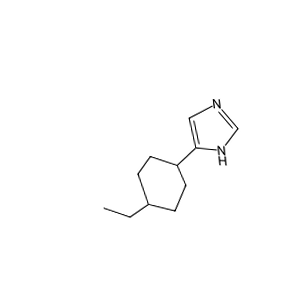 CCC1CCC(c2cnc[nH]2)CC1